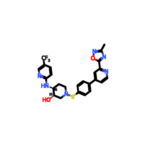 Cc1noc(-c2cc(-c3ccc(SN4CC[C@@H](Nc5ccc(C(F)(F)F)cn5)[C@@H](O)C4)cc3)ccn2)n1